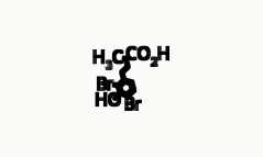 CC(CCc1ccc(Br)c(O)c1Br)C(=O)O